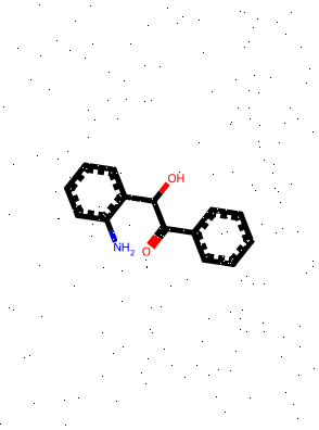 Nc1ccccc1C(O)C(=O)c1ccccc1